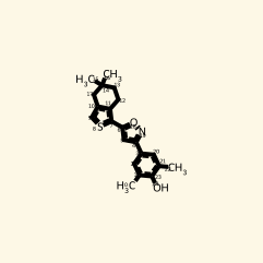 Cc1cc(-c2cc(-c3scc4c3CCC(C)(C)C4)on2)cc(C)c1O